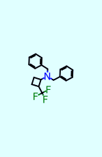 FC(F)(F)C1CCC1N(Cc1ccccc1)Cc1ccccc1